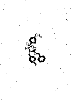 Cc1ccc(S(=O)(=O)N[C@@H](Cc2ccc(F)cc2)C(=O)OCc2ccccc2)cc1